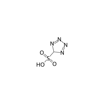 O=S(=O)(O)C1N=NN=N1